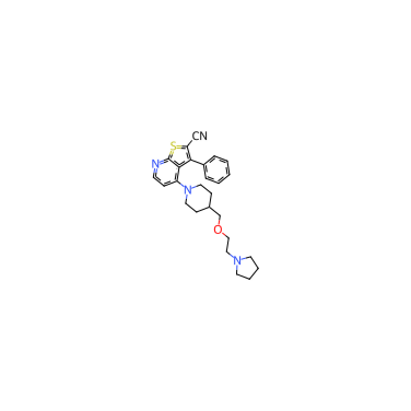 N#Cc1sc2nccc(N3CCC(COCCN4CCCC4)CC3)c2c1-c1ccccc1